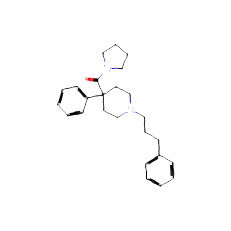 O=C(N1CCCC1)C1(c2ccccc2)CCN(CCCc2ccccc2)CC1